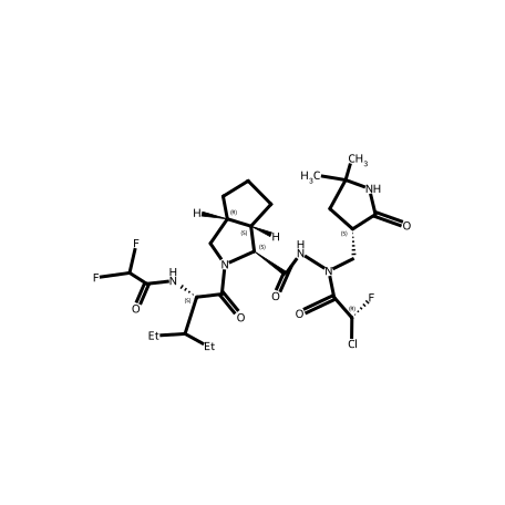 CCC(CC)[C@H](NC(=O)C(F)F)C(=O)N1C[C@@H]2CCC[C@@H]2[C@H]1C(=O)NN(C[C@@H]1CC(C)(C)NC1=O)C(=O)[C@H](F)Cl